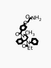 CCC(=O)N(c1ccccc1)[C@H]1CC(C)N(C(=O)c2ccc(OCC(N)=O)cc2)c2ccccc21